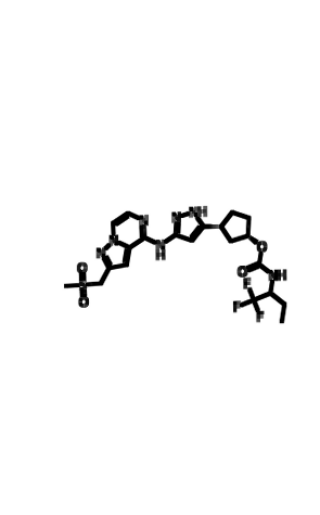 CCC(NC(=O)O[C@@H]1CC[C@H](c2cc(Nc3nccn4nc(CS(C)(=O)=O)cc34)n[nH]2)C1)C(F)(F)F